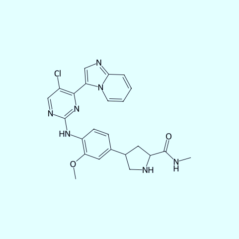 CNC(=O)C1CC(c2ccc(Nc3ncc(Cl)c(-c4cnc5ccccn45)n3)c(OC)c2)CN1